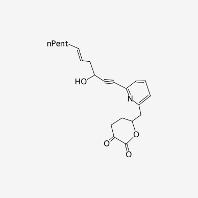 CCCCCC=CCC(O)C#Cc1cccc(CC2CCC(=O)C(=O)O2)n1